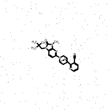 Cn1c(=O)n(CC(C)(C)C)c2ccc(N3CC4CCC3CN4c3ncccc3C#N)nc21